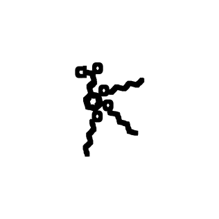 CCCCCCOc1ccc(C=CC(=O)Cl)c(OCCCCCC)c1OCCCCCC